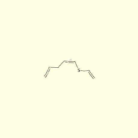 C=CC/C=C\SC=C